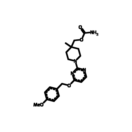 COc1ccc(COc2ccnc(N3CCC(C)(COC(N)=O)CC3)n2)cc1